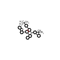 CC(C)(C)c1ccc(-c2ccc(N(c3ccc4c(c3)-c3ccccc3C4(C)C)c3ccc4ccccc4c3-c3cccc(-c4cccc5c4sc4ccccc45)c3)cc2)cc1